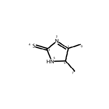 CC1=NC(=S)NC1C